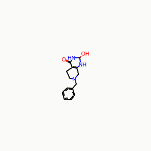 O=C1NC(O)NC2=C1CCN(Cc1ccccc1)C2